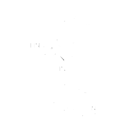 O=C(NCc1cccc2cnccc12)[C@H]1CNC[C@@H]1c1ccccc1